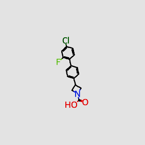 O=C(O)N1CC(c2ccc(-c3ccc(Cl)cc3F)cc2)C1